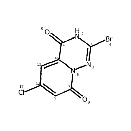 O=c1[nH]c(Br)nn2c(=O)cc(Cl)cc12